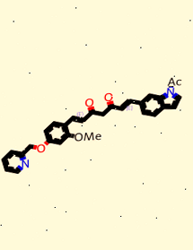 COc1cc(OCc2ccccn2)ccc1/C=C/C(=O)CC(=O)/C=C/c1ccc2ccn(C(C)=O)c2c1